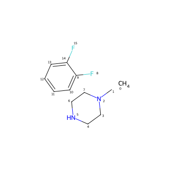 C.CN1CCNCC1.Fc1ccccc1F